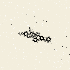 COc1cccc(OC)c1-n1c(NSC(C)C(OC)c2ncc(C)cn2)nnc1-c1ccc(Oc2ccccc2)cc1